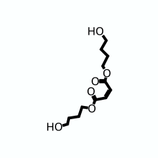 O=C(/C=C\C(=O)OCCCCO)OCCCCO